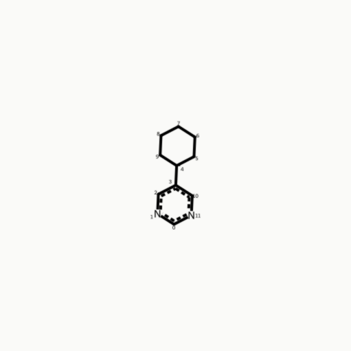 c1ncc([C]2CCCCC2)cn1